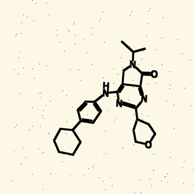 CC(C)N1Cc2c(Nc3ccc(C4CCCCC4)cc3)nc(C3CCOCC3)nc2C1=O